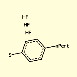 CCCCCc1ccc([S])cc1.F.F.F